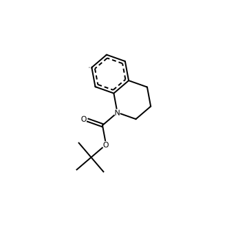 CC(C)(C)OC(=O)N1CCCc2cc[c]cc21